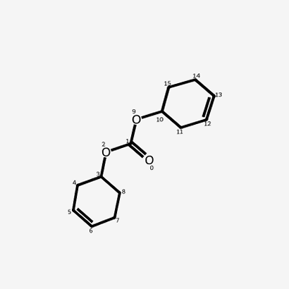 O=C(OC1CC=CCC1)OC1CC=CCC1